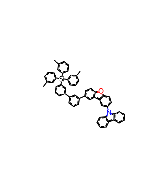 Cc1cccc([Si](c2cccc(C)c2)(c2cccc(C)c2)c2cccc(-c3cccc(-c4ccc5oc6ccc(-n7c8ccccc8c8ccccc87)cc6c5c4)c3)c2)c1